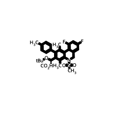 Cc1ccc(-c2c(C)c3c(c(C)c2[C@H](OC(C)(C)C)C(=O)O)N(S(C)(=O)=O)Cc2cc(F)cc(F)c2-3)cc1